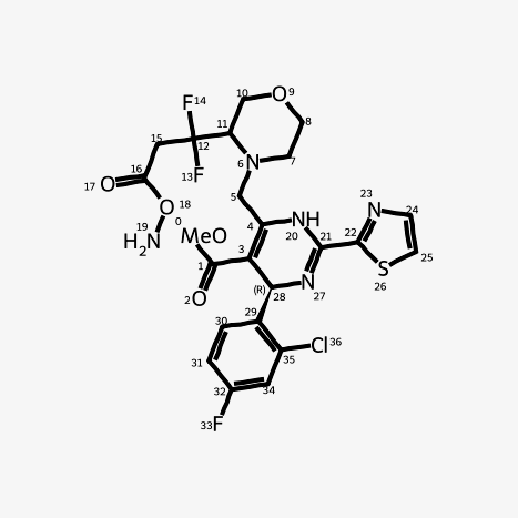 COC(=O)C1=C(CN2CCOCC2C(F)(F)CC(=O)ON)NC(c2nccs2)=N[C@H]1c1ccc(F)cc1Cl